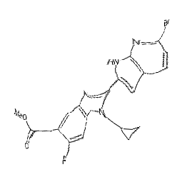 COC(=O)c1cc2nc(-c3cc4ccc(Br)nc4[nH]3)n(C3CC3)c2cc1F